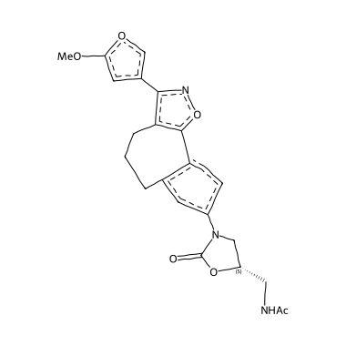 COc1cc(-c2noc3c2CCCc2cc(N4C[C@H](CNC(C)=O)OC4=O)ccc2-3)co1